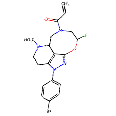 C=CC(=O)N1CC(F)Oc2nn(-c3ccc(C(C)C)cc3)c3c2C(C1)N(C(=O)O)CC3